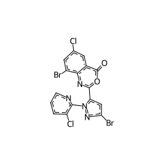 O=c1oc(-c2cc(Br)nn2-c2ncccc2Cl)nc2c(Br)cc(Cl)cc12